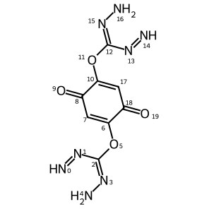 N=NC(=NN)OC1=CC(=O)C(OC(N=N)=NN)=CC1=O